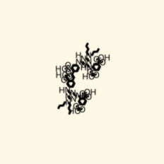 CCCCN(CCCC)c1nc(Nc2ccc(/C=C/c3ccc(Nc4nc(Nc5cc(S(=O)(=O)O)ccc5S(=O)(=O)O)nc(N(CCCC)CCCC)n4)cc3S(=O)(=O)O)c(S(=O)(=O)O)c2)nc(Nc2cc(S(=O)(=O)O)ccc2S(=O)(=O)O)n1